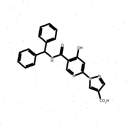 O=C(O)c1cnn(-c2cc(O)c(C(=O)NC(c3ccccc3)c3ccccc3)cn2)c1